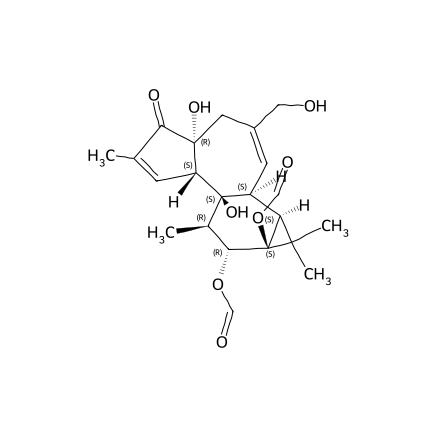 CC1=C[C@H]2[C@@]3(O)[C@H](C)[C@@H](OC=O)[C@]4(OC=O)[C@@H]([C@@H]3C=C(CO)C[C@]2(O)C1=O)C4(C)C